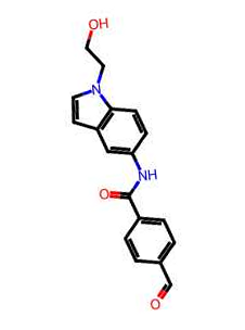 O=Cc1ccc(C(=O)Nc2ccc3c(ccn3CCO)c2)cc1